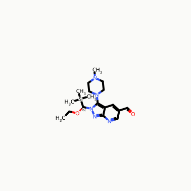 CCO[C@H](n1nc2ncc(C=O)cc2c1N1CCN(C)CC1)[Si](C)(C)C